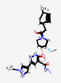 Cc1ccc(CC(=O)N2CC[C@@H](Oc3nnc(-c4cnn(C)c4)cc3C(N)=O)[C@@H](F)C2)cc1